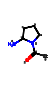 CCC(=O)N1CCCC1N